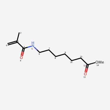 C=C(C)C(=O)NCCCCCCC(=O)OC